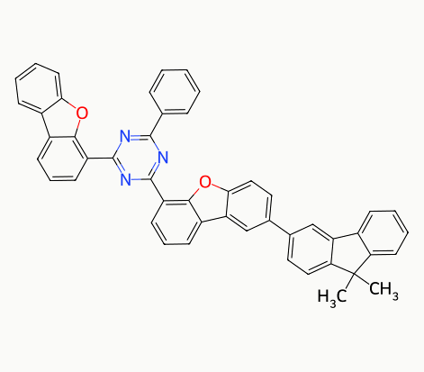 CC1(C)c2ccccc2-c2cc(-c3ccc4oc5c(-c6nc(-c7ccccc7)nc(-c7cccc8c7oc7ccccc78)n6)cccc5c4c3)ccc21